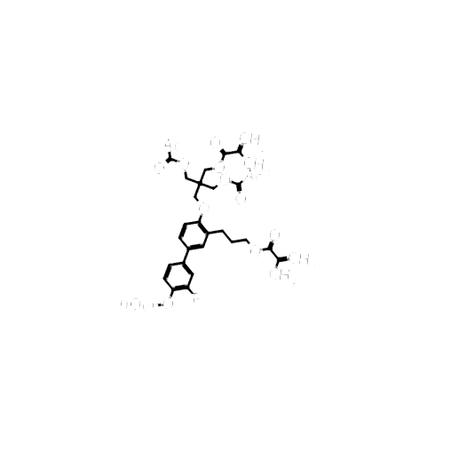 C=C(C)C(=O)OCCCc1cc(-c2ccc(OCCCCCCCC)c(F)c2)ccc1OCC(COC(=O)C(=C)C)(COC(=O)C(C)=O)COC(=O)C(C)=O